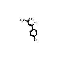 C=C(C)C=C(C)c1ccc(O)cc1